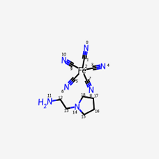 N#[C][Fe]([C]#N)([C]#N)([C]#N)[C]#N.NCCN1CCCC1